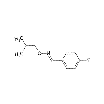 CC(C)CON=Cc1ccc(F)cc1